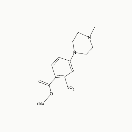 CCCCOC(=O)c1ccc(N2CCN(C)CC2)cc1[N+](=O)[O-]